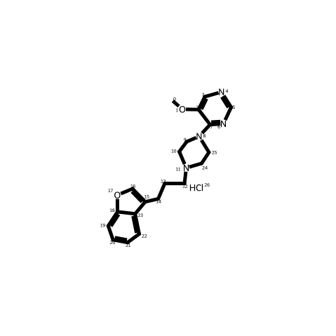 COc1cncnc1N1CCN(CCCc2coc3ccccc23)CC1.Cl